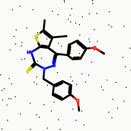 COc1ccc(CN2N=C(c3ccc(OC)cc3)c3c(sc(C)c3C)NC2=S)cc1